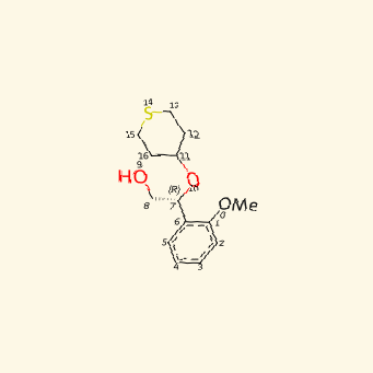 COc1ccccc1[C@H](CO)OC1CCSCC1